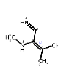 CN/C(C=N)=C(\C)Cl